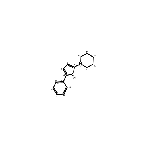 c1ccc(-c2ccc(N3CCCCC3)s2)cc1